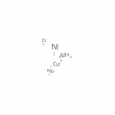 [AlH3].[Cu].[Nb].[Ni].[Zr]